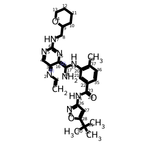 C=C/N=C1/C=NC(NCC2CCCCO2)=N/C1=C(/N)Nc1cc(C(=O)Nc2cc(C(C)(C)C)on2)ccc1C